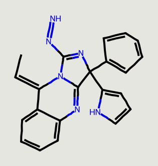 C/C=C1/c2ccccc2N=C2N1C(N=N)=NC2(c1ccccc1)c1ccc[nH]1